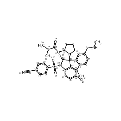 CNCc1ccc(OC)c(C2(N3CCC[C@@H]3OC(=O)N(C)C)C(=O)N(S(=O)(=O)c3ccc(C#N)cc3)c3ccc(Cl)cc32)c1